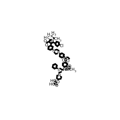 Cc1c(C(=O)O)c(-c2cccc(N3CCN(c4ccc(N5CCO[P@@]5(=O)c5ccc(N[C@H](CCN6CCC(OP(=O)(O)O)CC6)CSc6ccccc6)c(S(C)(=O)=O)c5)cc4)CC3)c2)c(-c2ccc(Cl)cc2)n1C(C)C